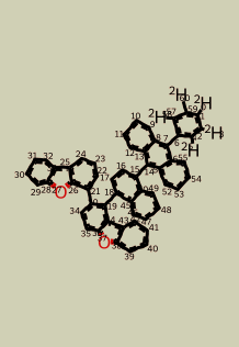 [2H]c1c([2H])c([2H])c(-c2c3ccccc3c(-c3ccc(-c4c(-c5cccc6c5oc5ccccc56)ccc5oc6ccccc6c45)c4ccccc34)c3ccccc23)c([2H])c1[2H]